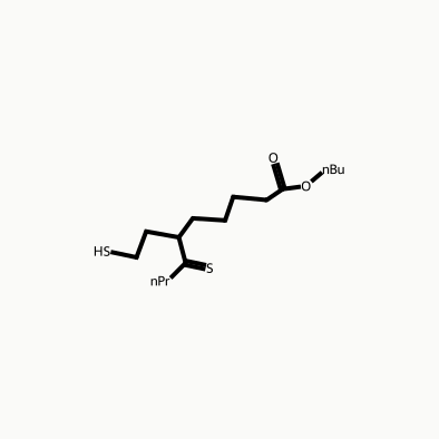 CCCCOC(=O)CCCCC(CCS)C(=S)CCC